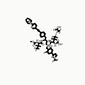 COC(=O)NC(C(=O)NC(Cc1ccc(C#Cc2ccc(N3CC4CCC(C3)N4)nc2)cc1)C(O)CN(Cc1c(F)cc(-c2ccn(C(F)F)n2)cc1F)NC(=O)C(NC(=O)O)C(C)(C)C(F)(F)F)C(C)(C)C(F)(F)F.O=C(O)C(F)(F)F